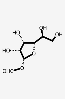 O=CO[C@H]1O[C@@H]([C@@H](O)CO)[C@@H](O)[C@H]1O